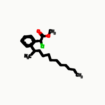 CCCCCCCCCCC(C)c1ccccc1C(Cl)C(=O)OC